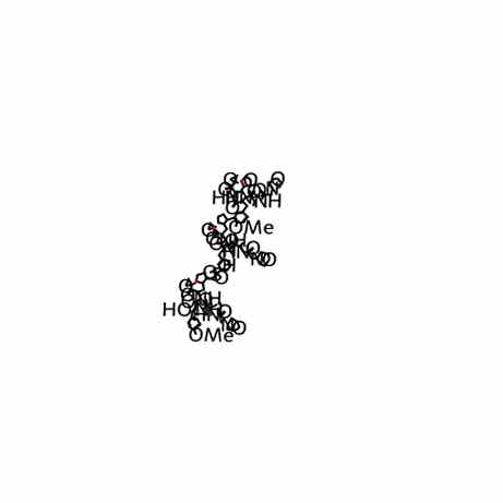 COc1ccc(C(O)C(NC(=O)C(C)NC(=O)CN2CCOCC2)C(=O)NC(CC2CCCC2CS(=O)(=O)c2cccc(CC(NC(=O)C(C)NC(=O)CN3CCOCC3)C(=O)NC(CC3CCCC3c3cc(CC(NC(=O)C(C)NC(=O)CN4CCOCC4)C(=O)NC(CC4CCOC4)C(=O)C4(C)CO4)ccc3OC)C(=O)C3(C)CO3)c2)C(=O)C2(C)CO2)cc1